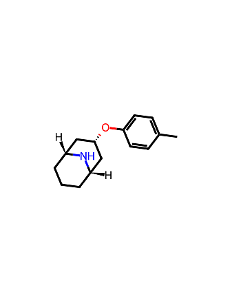 Cc1ccc(O[C@H]2C[C@H]3CCC[C@@H](C2)N3)cc1